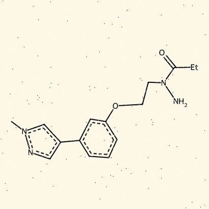 CCC(=O)N(N)CCOc1c[c]cc(-c2cnn(C)c2)c1